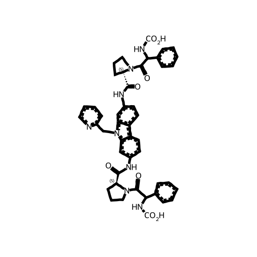 O=C(O)NC(C(=O)N1CCC[C@H]1C(=O)Nc1ccc2c3ccc(NC(=O)[C@@H]4CCCN4C(=O)C(NC(=O)O)c4ccccc4)cc3n(Cc3ccccn3)c2c1)c1ccccc1